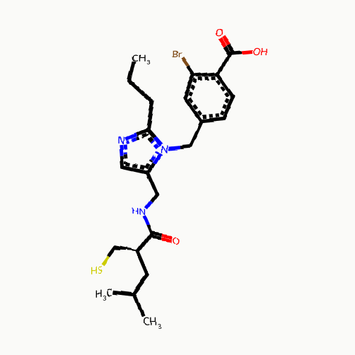 CCCc1ncc(CNC(=O)[C@H](CS)CC(C)C)n1Cc1ccc(C(=O)O)c(Br)c1